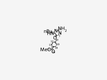 CCCCNc1nc(N)ncc1OCc1ccc(C(=O)OC)cc1